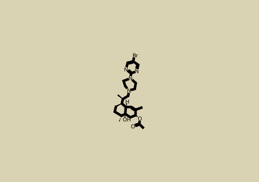 CC(=O)O[C@@H]1[C][C@@]2(O)[C@H](C)CC[C@@H]([C@@H](C)CN3CCN(c4ncc(Br)cn4)CC3)[C@H]2C=C1C